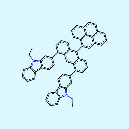 CCn1c2ccccc2c2ccc(-c3cccc4c(-c5cc6cccc7ccc8cccc5c8c76)c5cccc(-c6ccc7c8ccccc8n(CC)c7c6)c5cc34)cc21